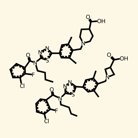 CCCCN(C(=O)c1cccc(Cl)c1F)c1nnc(-c2cc(C)c(CN3CC(C(=O)O)C3)c(C)c2)s1.CCCCN(C(=O)c1cccc(Cl)c1F)c1nnc(-c2cc(C)c(CN3CCC(C(=O)O)CC3)c(C)c2)s1